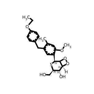 CCOc1ccc(Cc2cc([C@@H]3S[C@H](CO)[C@@H](O)[C@@H]4OOC43)c(OC)cc2C)cc1